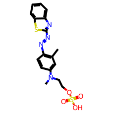 Cc1cc(N(C)CCOS(=O)(=O)O)ccc1N=Nc1nc2ccccc2s1